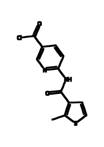 Cc1sccc1C(=O)Nc1ccc(C(=O)Cl)cn1